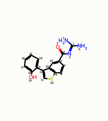 NC(N)=NC(=O)c1ccc2scc(-c3ccccc3O)c2c1